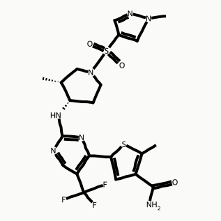 Cc1sc(-c2nc(N[C@H]3CCN(S(=O)(=O)c4cnn(C)c4)C[C@H]3C)ncc2C(F)(F)F)cc1C(N)=O